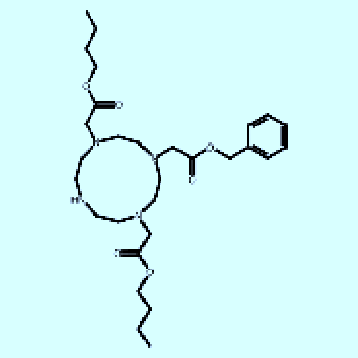 CCCCOC(=O)CN1CCNCCN(CC(=O)OCCCC)CCN(CC(=O)OCc2ccccc2)CC1